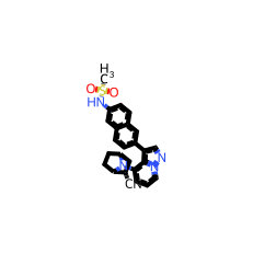 CS(=O)(=O)Nc1ccc2cc(-c3cnn4cccc(N5C6CCC5C(C#N)C6)c34)ccc2c1